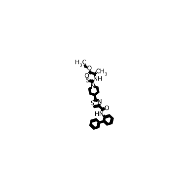 CCOC(=O)C(C)NC(=S)N1CCC(c2nc(C(=O)Nc3ccccc3-c3ccccc3)cs2)CC1